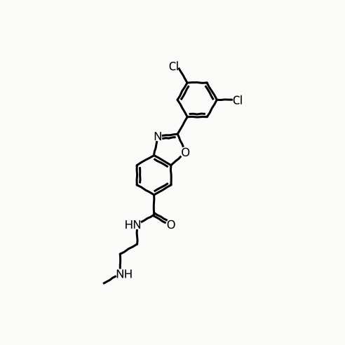 CNCCNC(=O)c1ccc2nc(-c3cc(Cl)cc(Cl)c3)oc2c1